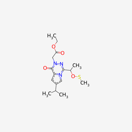 CCOC(=O)Cn1nc(C(C)OSC)n2cc(C(C)C)cc2c1=O